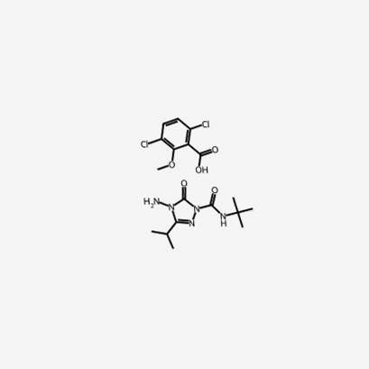 CC(C)c1nn(C(=O)NC(C)(C)C)c(=O)n1N.COc1c(Cl)ccc(Cl)c1C(=O)O